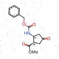 COC(=O)[C@@H]1CC(=O)C[C@@H]1NC(=O)OCc1ccccc1